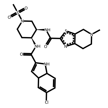 CN1CCc2nc(C(=O)N[C@@H]3CN(S(C)(=O)=O)CC[C@@H]3NC(=O)C3=CC4C=C(Cl)C=CC4N3)sc2C1